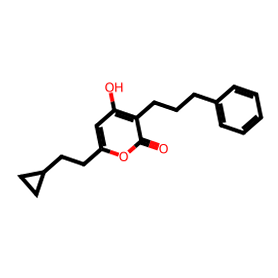 O=c1oc(CCC2CC2)cc(O)c1CCCc1ccccc1